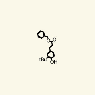 CC(C)(C)c1cc(CCC(=O)OCc2ccccc2)ccc1O